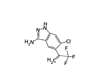 C=C(c1cc2c(N)n[nH]c2cc1Cl)C(F)(F)F